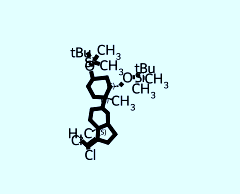 CC(C)(C)[Si](C)(C)OC[C@H]1CC(O[Si](C)(C)C(C)(C)C)CC[C@]1(C)C1CC[C@]2(C)C(=C(Cl)Cl)CCC2C1